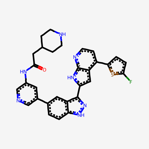 O=C(CC1CCNCC1)Nc1cncc(-c2ccc3[nH]nc(-c4cc5c(-c6ccc(F)s6)ccnc5[nH]4)c3c2)c1